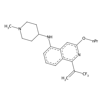 C=C(c1nc(OCCC)cc2c(NC3CCN(C)CC3)cccc12)C(F)(F)F